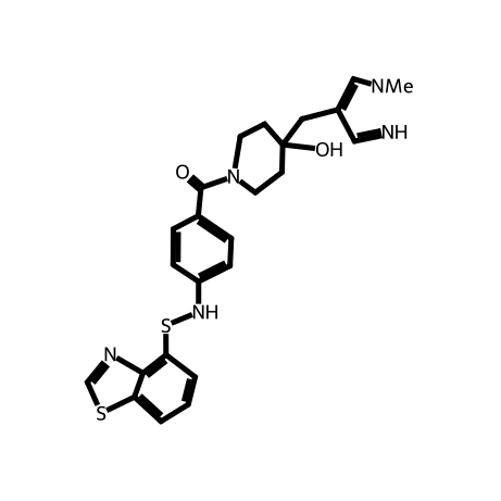 CN/C=C(\C=N)CC1(O)CCN(C(=O)c2ccc(NSc3cccc4scnc34)cc2)CC1